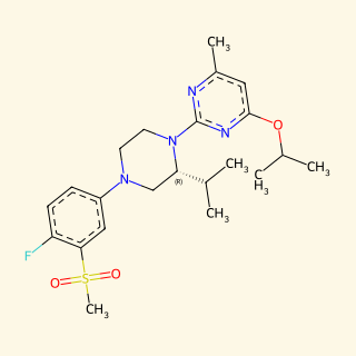 Cc1cc(OC(C)C)nc(N2CCN(c3ccc(F)c(S(C)(=O)=O)c3)C[C@H]2C(C)C)n1